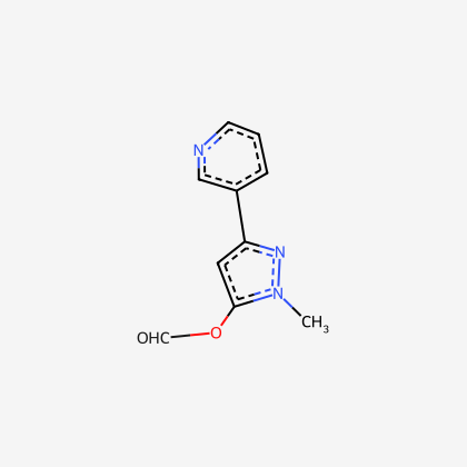 Cn1nc(-c2cccnc2)cc1OC=O